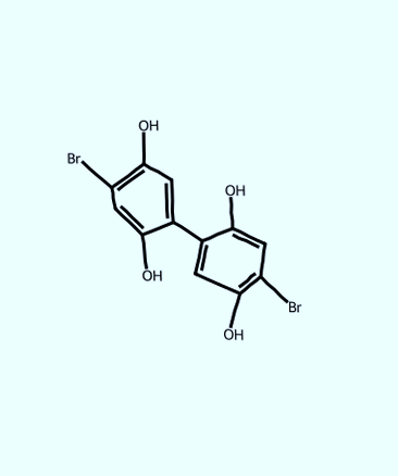 Oc1cc(-c2cc(O)c(Br)cc2O)c(O)cc1Br